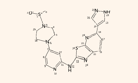 C[S+]([O-])N1CCN(c2ccnc(Nc3nc4ccc(-c5cn[nH]c5)nc4s3)c2)CC1